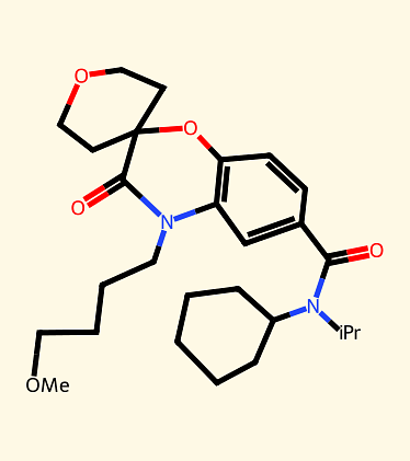 COCCCCN1C(=O)C2(CCOCC2)Oc2ccc(C(=O)N(C(C)C)C3CCCCC3)cc21